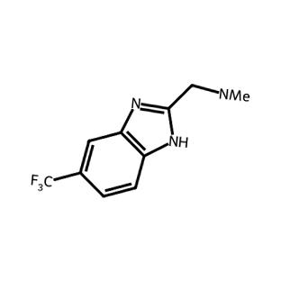 CNCc1nc2cc(C(F)(F)F)ccc2[nH]1